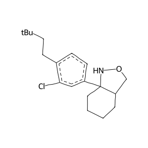 CC(C)(C)CCc1ccc(C23CCCCC2CON3)cc1Cl